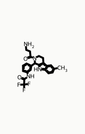 Cc1ccc2[nH]c3c(c2c1)CCN(C(=O)CCN)C3c1cccc(NC(=O)C(F)(F)F)c1